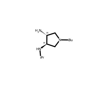 CCC(C)N1C[C@@H](N)[C@H](NC(C)C)C1